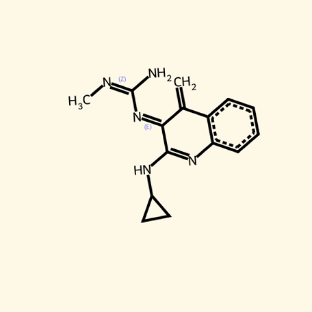 C=C1/C(=N\C(N)=N/C)C(NC2CC2)=Nc2ccccc21